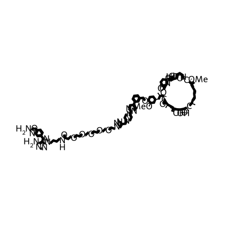 CO[C@H]1C[C@@H]2CC[C@@H](C)[C@@](O)(O2)C(=O)C(=O)N2CCCC[C@H]2C(=O)O[C@H]([C@H](C)C[C@@H]2CC[C@@H](OCc3cccc(-c4cnc(N5CCN(Cc6cn(CCOCCOCCOCCOCCOCCC(=O)NCCCCn7nc(-c8ccc9oc(N)nc9c8)c8c(N)ncnc87)nn6)CC5)nc4)c3)[C@H](OC)C2)CC(=O)[C@H](C)/C=C(\C)[C@@H](O)[C@@H](O)C(=O)[C@H](C)C[C@H](C)/C=C/C=C/C=C/1C